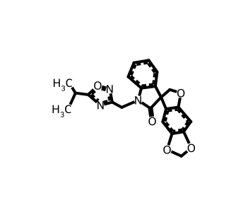 CC(C)c1nc(CN2C(=O)C3(COc4cc5c(cc43)OCO5)c3ccccc32)no1